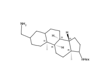 CCCCCCC1CC[C@H]2[C@@H]3CCC4CC(CN)CC[C@]4(C)[C@@H]3CC[C@]12C